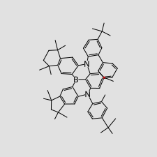 Cc1cc2c3c(c1)N(c1ccc(C(C)(C)C)cc1-c1ccccc1)c1cc4c(cc1B3c1cc3c(cc1N2c1ccc(C(C)(C)C)cc1C)C(C)(C)CC3(C)C)C(C)(C)CCC4(C)C